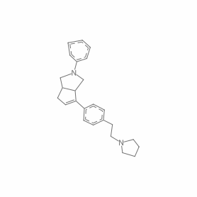 C1=C(c2ccc(CCN3CCCC3)cc2)C2CN(c3ccccc3)CC2C1